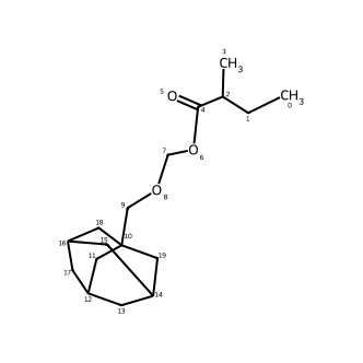 CCC(C)C(=O)OCOCC12CC3CC(CC(C3)C1)C2